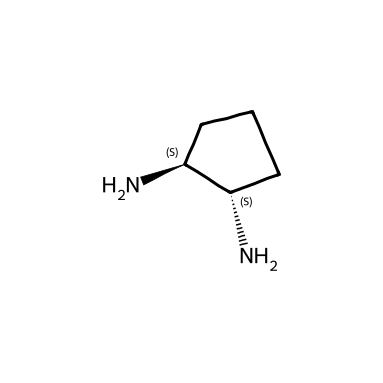 N[C@H]1CCC[C@@H]1N